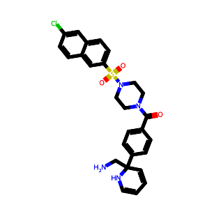 NCC1(c2ccc(C(=O)N3CCN(S(=O)(=O)c4ccc5cc(Cl)ccc5c4)CC3)cc2)C=CC=CN1